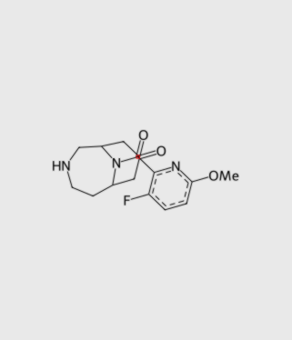 COc1ccc(F)c(C(=O)N2C3CCNCC2CC(=O)C3)n1